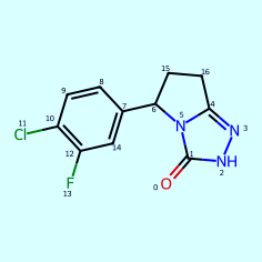 O=c1[nH]nc2n1C(c1ccc(Cl)c(F)c1)CC2